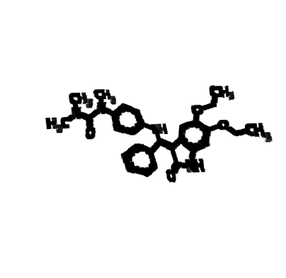 CCOc1cc2c(cc1OCC)C(=C(Nc1ccc(N(C)C(=O)N(C)C)cc1)c1ccccc1)C(=O)N2